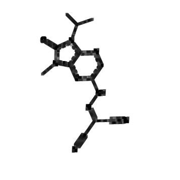 CC(C)n1c(=O)n(C)c2cc(NN=C(C#N)C#N)cnc21